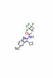 N#Cc1ccn2nc(NC(=O)C[C@H]3CC(F)(F)C3(F)F)c(C3CCC3)c2c1